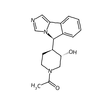 CC(=O)N1CC[C@@H]([C@@H]2c3ccccc3-c3cncn32)[C@H](O)C1